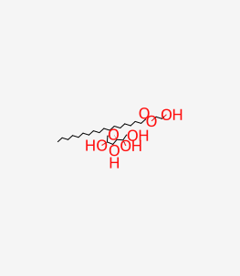 CCCCCCCCCCCCCCCCCC(=O)OCCO.OC[C@@H](O)[C@H]1OC[C@H](O)[C@H]1O